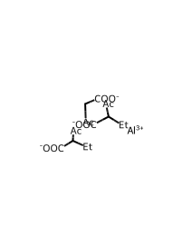 CC(=O)CC(=O)[O-].CCC(C(C)=O)C(=O)[O-].CCC(C(C)=O)C(=O)[O-].[Al+3]